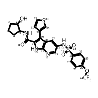 O=C(NC1CCCC1O)c1[nH]c2ncc(NS(=O)(=O)c3ccc(OC(F)(F)F)cc3)cc2c1-c1ccsc1